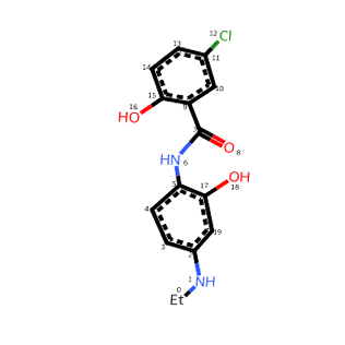 CCNc1ccc(NC(=O)c2cc(Cl)ccc2O)c(O)c1